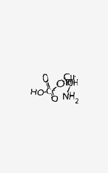 NO.[Cu].[O]=[Cr](=[O])([OH])[OH]